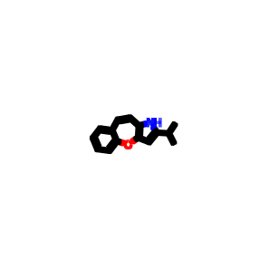 CC(C)c1cc2c([nH]1)C=Cc1ccccc1O2